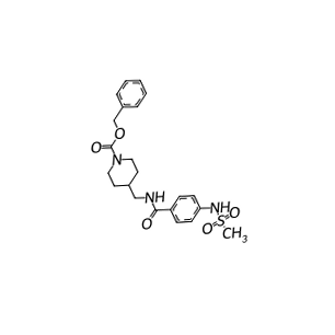 CS(=O)(=O)Nc1ccc(C(=O)NCC2CCN(C(=O)OCc3ccccc3)CC2)cc1